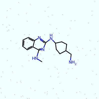 CNc1nc(NC2CCC(CN)CC2)nc2ccccc12